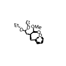 CCOC(CC(=Cc1ccco1)C(=O)OC)OCC